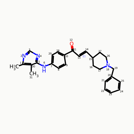 Cc1ncnc(Nc2ccc(C(=O)/C=C/C3CCN(Cc4ccccc4)CC3)cc2)c1C